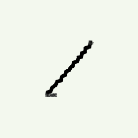 [B]CCCCCCCCCCCCCCCCCCCCCCCCCCCCCC